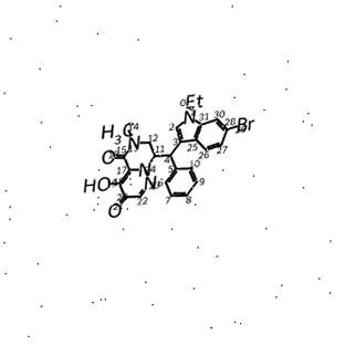 CCn1cc(C(c2ccccc2)C2CN(C)C(=O)c3c(O)c(=O)cnn32)c2ccc(Br)cc21